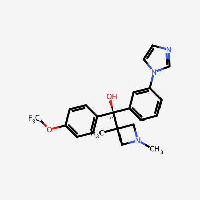 CN1CC(C)([C@](O)(c2ccc(OC(F)(F)F)cc2)c2cccc(-n3ccnc3)c2)C1